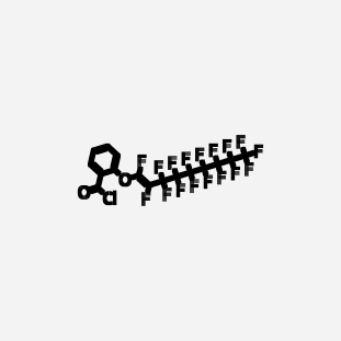 O=C(Cl)c1ccccc1OC(F)=C(F)C(F)(F)C(F)(F)C(F)(F)C(F)(F)C(F)(F)C(F)(F)C(F)(F)F